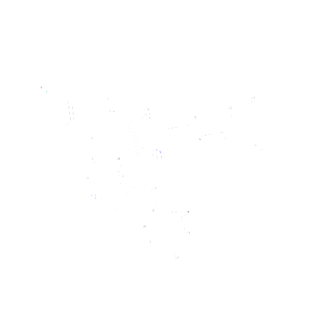 Fc1ccc(-c2nc(SCc3ccccc3)[nH]c2-c2ccn[c]c2Cc2ccccc2)cc1